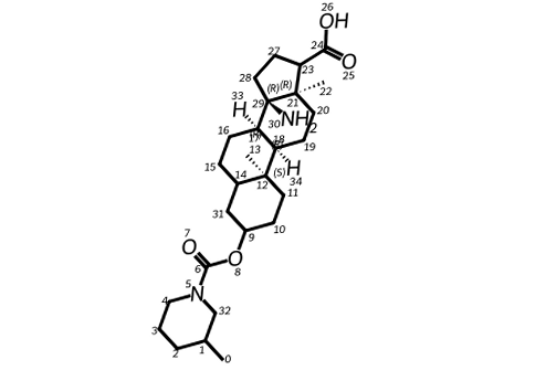 CC1CCCN(C(=O)OC2CC[C@@]3(C)C(CC[C@@H]4[C@H]3CC[C@]3(C)C(C(=O)O)CC[C@@]43N)C2)C1